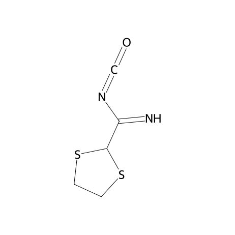 N=C(N=C=O)C1SCCS1